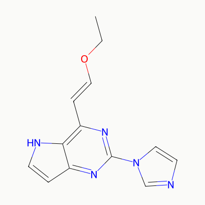 CCOC=Cc1nc(-n2ccnc2)nc2cc[nH]c12